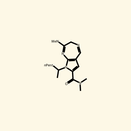 CCCCCC(C)n1c(C(=O)N(C)C)cc2c1N=C(NC)CN=C2